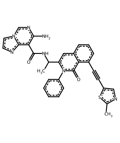 Cc1ncc(C#Cc2cccc3cc(C(C)NC(=O)c4c(N)ncn5ccnc45)n(-c4ccccc4)c(=O)c23)s1